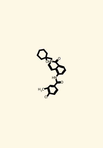 Cc1cc(C(=O)Nc2cccc3c(=O)n(CC4(O)CCCCC4)ccc23)ccc1Cl